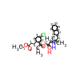 CCOC(=O)CCc1ccc(Cl)cc1[C@@H](C)OC[C@H](O)CNC(C)(C)CC1Cc2ccccc2C1